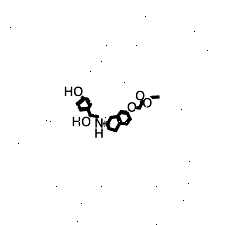 CCOC(=O)COc1ccc2c(c1)C[C@@H](NCC(O)c1ccc(O)cc1)CC2